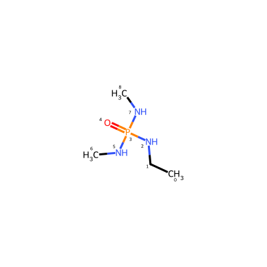 CCNP(=O)(NC)NC